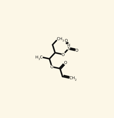 C=CC(=O)OC(C)C(CC)O[SH](=O)=O